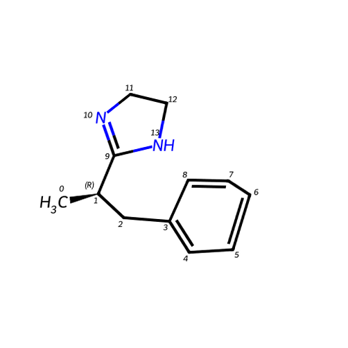 C[C@H](Cc1ccccc1)C1=NCCN1